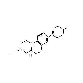 CC1CCC(c2ccc3c(c2)OC[C@H]2CN(C)CCN32)=NC1